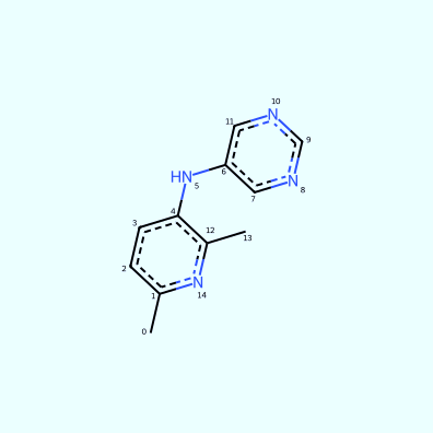 Cc1ccc(Nc2cncnc2)c(C)n1